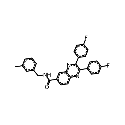 Cc1cccc(CNC(=O)c2ccc3nc(-c4ccc(F)cc4)c(-c4ccc(F)cc4)nc3c2)c1